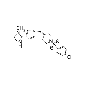 CN1CCNC1c1ccc(C=C2CCN(S(=O)(=O)c3ccc(Cl)cc3)CC2)cc1